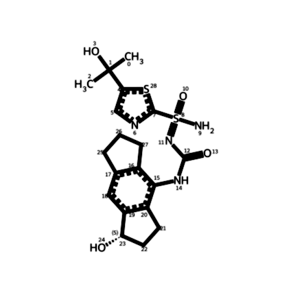 CC(C)(O)c1cnc(S(N)(=O)=NC(=O)Nc2c3c(cc4c2CC[C@@H]4O)CCC3)s1